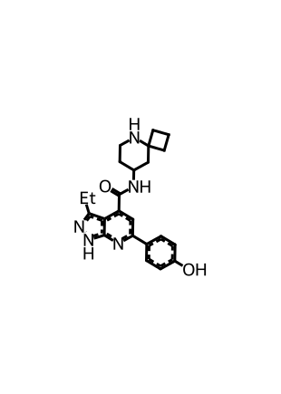 CCc1n[nH]c2nc(-c3ccc(O)cc3)cc(C(=O)NC3CCNC4(CCC4)C3)c12